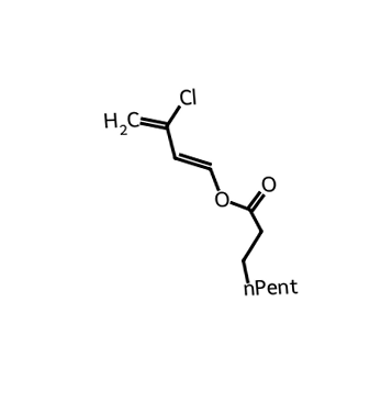 C=C(Cl)C=COC(=O)CCCCCCC